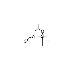 CC(CN=C=S)O[Si](C)(C)C(C)(C)C